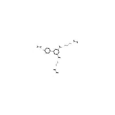 C=C(C)C(=O)OCCCOC(=O)c1cc(C(=O)OCCOC(=O)C(=C)C)cc(-c2ccc(OC(=O)C(=C)C)cc2)c1